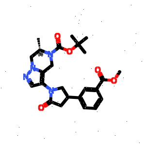 COC(=O)c1cccc(C2CC(=O)N(c3cnn4c3CN(C(=O)OC(C)(C)C)[C@@H](C)C4)C2)c1